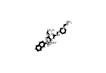 Cl.NN=CN1CCC[C@@H](CNC(=O)C[C@H](NS(=O)(=O)c2ccc3ccccc3c2)C(=O)NCC(=O)O)C1